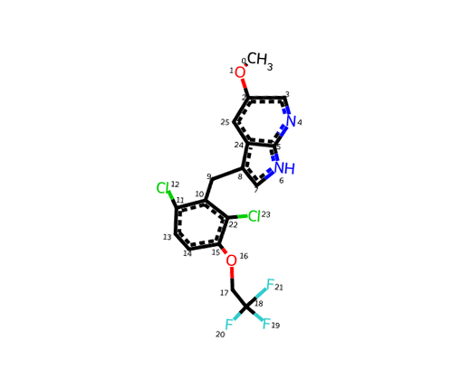 COc1cnc2[nH]cc(Cc3c(Cl)ccc(OCC(F)(F)F)c3Cl)c2c1